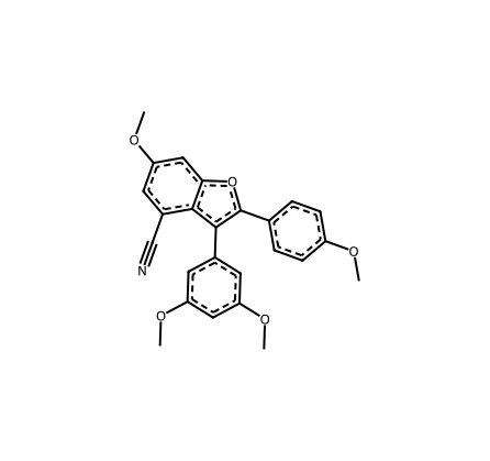 COc1ccc(-c2oc3cc(OC)cc(C#N)c3c2-c2cc(OC)cc(OC)c2)cc1